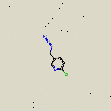 [N-]=[N+]=NCc1ccc(Cl)nc1